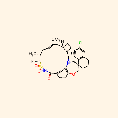 CO[C@H]1/C=C/C[C@@H](C)[C@H](C(C)C)S(=O)(=O)NC(=O)c2ccc3c(c2)N(C[C@@H]2CC[C@H]21)C[C@@]1(CCCc2cc(Cl)ccc21)CO3